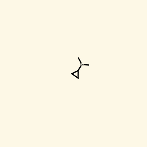 [CH3][Ge]([CH3])[CH]1CC1